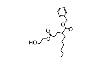 CCCCCCC(CCC(=O)OCCO)C(=O)OCc1ccccc1